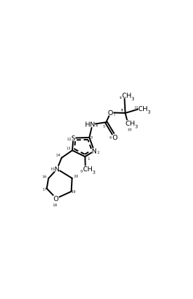 Cc1nc(NC(=O)OC(C)(C)C)sc1CN1CCOCC1